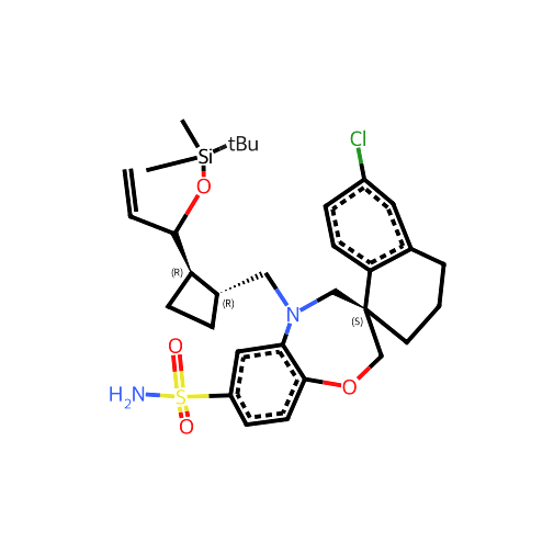 C=CC(O[Si](C)(C)C(C)(C)C)[C@@H]1CC[C@H]1CN1C[C@@]2(CCCc3cc(Cl)ccc32)COc2ccc(S(N)(=O)=O)cc21